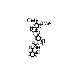 COc1cc2nccc(Oc3ccc(NC(=S)NC(=O)c4ccccc4Cl)c(Cl)c3)c2cc1OC